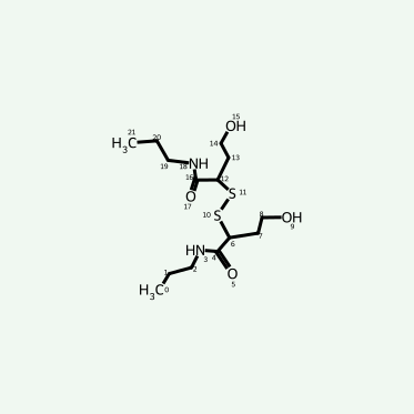 CCCNC(=O)C(CCO)SSC(CCO)C(=O)NCCC